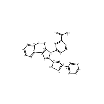 O=C(O)c1cccc(-n2c(-c3cc(-c4ccccc4)no3)cc3c2CCc2ccccc2-3)c1